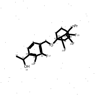 CCCC12CCC(OCc3ccc(C(C)O)c(F)c3F)(CC1)C(F)C2(F)F